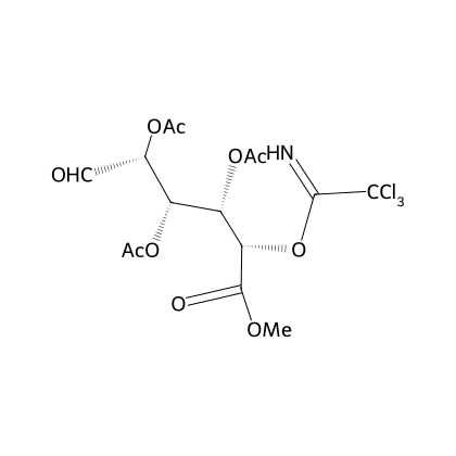 COC(=O)[C@@H](OC(=N)C(Cl)(Cl)Cl)[C@@H](OC(C)=O)[C@H](OC(C)=O)[C@H](C=O)OC(C)=O